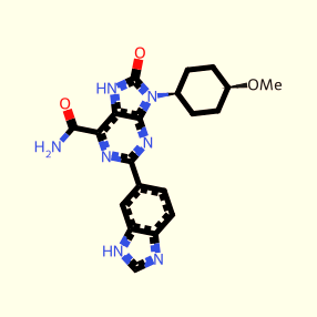 CO[C@H]1CC[C@@H](n2c(=O)[nH]c3c(C(N)=O)nc(-c4ccc5nc[nH]c5c4)nc32)CC1